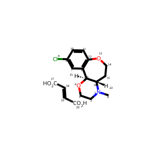 CN1CCO[C@H]2c3cc(Cl)ccc3OCC[C@@H]21.O=C(O)C=CC(=O)O